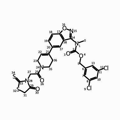 CN(C(=O)OCc1cc(Cl)cc(Cl)c1)c1noc2ccc(C3=CCN(C(=O)CN4C(=O)CSC4=S)CC3)cc12